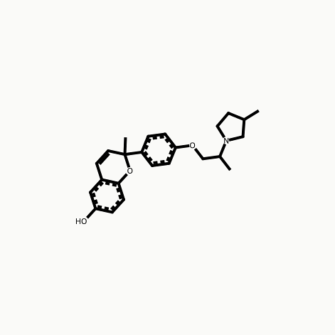 CC1CCN(C(C)COc2ccc(C3(C)C=Cc4cc(O)ccc4O3)cc2)C1